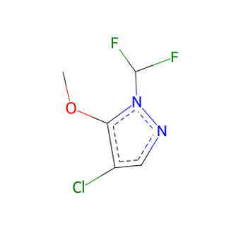 COc1c(Cl)cnn1C(F)F